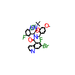 COc1ccc(CN(C(=O)c2c(F)c(Br)cc3ncccc23)C(C(=O)NC(C)(C)C)c2cc(F)ccc2Cl)cc1